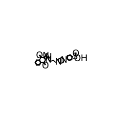 O=C1c2ccccc2C(=O)c2c1nnn2CCCN1CCN(c2ccc(S(=O)O)cc2)CC1